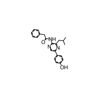 CC(C)Cc1nc(-c2ccc(O)cc2)cnc1NC(=O)Cc1ccccc1